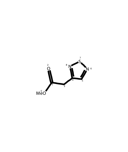 COC(=O)Cc1cnsn1